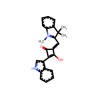 C[N+]1=C(/C=C2\C(=O)C(c3c[nH]c4ccccc34)=C2O)C(C)(C)c2ccccc21